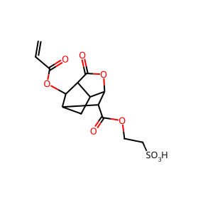 C=CC(=O)OC1C2CC3C(OC(=O)C31)C2C(=O)OCCS(=O)(=O)O